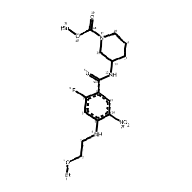 CCOCCNc1cc(F)c(C(=O)NC2CCCN(C(=O)OC(C)(C)C)C2)cc1[N+](=O)[O-]